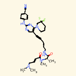 C[C@@H](C(=O)NCCCC#Cc1cnc(Nc2ccc(C#N)cc2)nc1N1CCCC(F)(F)C1)N(C)C(=O)/C=C/CN(C)C